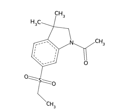 CCS(=O)(=O)c1ccc2c(c1)N(C(C)=O)CC2(C)C